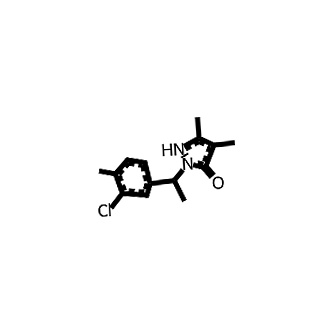 Cc1ccc(C(C)n2[nH]c(C)c(C)c2=O)cc1Cl